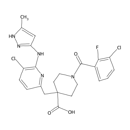 Cc1cc(Nc2nc(CC3(C(=O)O)CCN(C(=O)c4cccc(Cl)c4F)CC3)ccc2Cl)n[nH]1